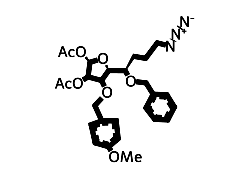 COc1ccc(COC2C(OC(C)=O)[C@H](OC(C)=O)O[C@@H]2[C@@H](CCCN=[N+]=[N-])OCc2ccccc2)cc1